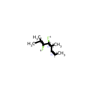 C/C=C\C(C)=C(\F)C(F)=C(C)C